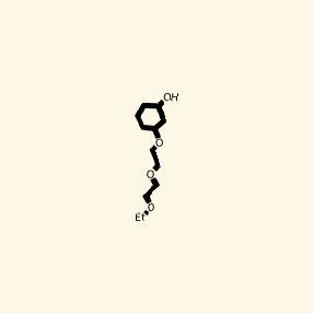 CCOCCOCCOC1CCCC(O)C1